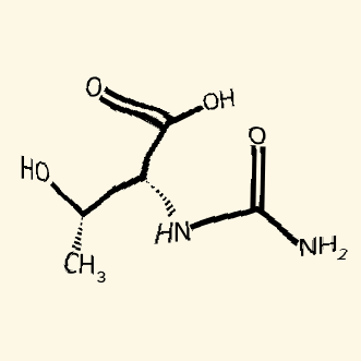 C[C@H](O)[C@@H](NC(N)=O)C(=O)O